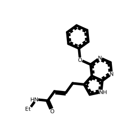 CCNC(=O)C=CCc1c[nH]c2ncnc(Oc3ccccc3)c12